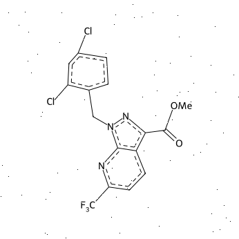 COC(=O)c1nn(Cc2ccc(Cl)cc2Cl)c2nc(C(F)(F)F)ccc12